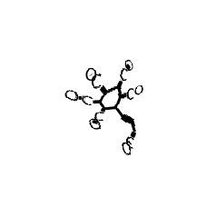 O=C=CC#CC1C(=C=O)C(=C=O)C(=C=O)C(=C=O)C1=C=O